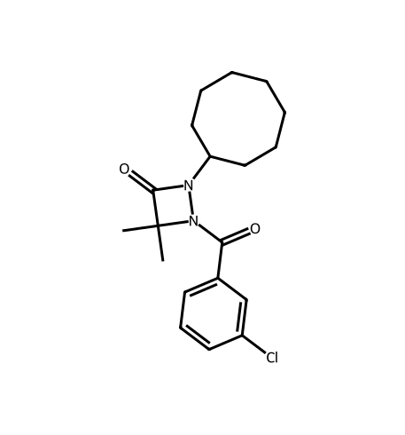 CC1(C)C(=O)N(C2CCCCCCC2)N1C(=O)c1cccc(Cl)c1